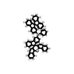 c1ccc(N(c2ccc3c(c2)-c2ccccc2C32c3ccc4ccccc4c3Oc3c2ccc2ccccc32)c2ccc3c(c2)C2(c4ccccc4-c4ccccc42)c2ccccc2-3)cc1